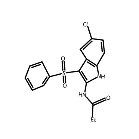 CCC(=O)Nc1[nH]c2ccc(Cl)cc2c1S(=O)(=O)c1ccccc1